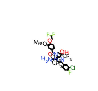 COc1cc(C(=O)NC[C@@](O)(c2cc(C(C)(C)N)cc(-c3ccc(F)c(Cl)c3)n2)C(F)(F)F)ccc1OCC(F)F